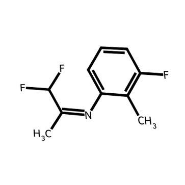 CC(=Nc1cccc(F)c1C)C(F)F